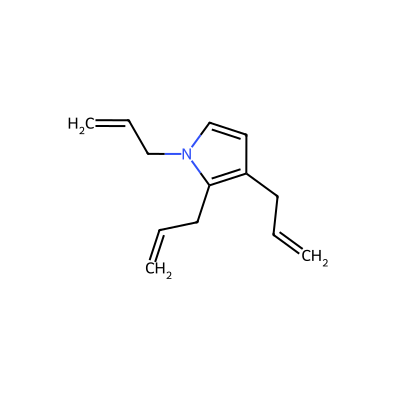 C=CCc1ccn(CC=C)c1CC=C